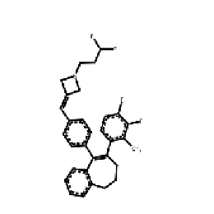 Cc1c(C2=C(c3ccc(C=C4CN(CCC(F)F)C4)cc3)c3ccccc3CCC2)ccc(F)c1F